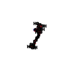 O=C(CNC(=O)[C@H](Cc1cn(CCOCCOCCOCCOc2ccc(CCO[C@@H]3O[C@H](CO)[C@@H](O)[C@H](O)[C@H]3O)cc2)nn1)NC(=O)OC[C@H]1C2CC/C=C\CC[C@H]21)Nc1ccc2c(c1)C(=O)OC21c2ccc(O)cc2Oc2cc(O)ccc21